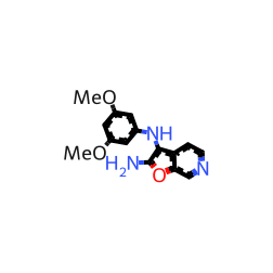 COc1cc(Nc2c(N)oc3cnccc23)cc(OC)c1